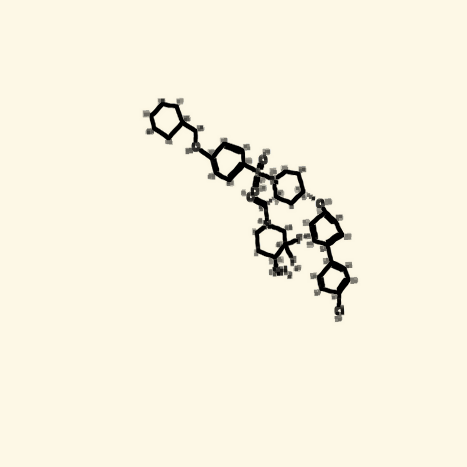 N[C@H]1CCN(C(=O)[C@H]2C[C@@H](Oc3ccc(-c4ccc(Cl)cc4)cc3)CCN2S(=O)(=O)c2ccc(OCC3CCCCC3)cc2)CC1(F)F